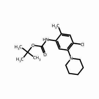 Cc1cc(Cl)c(N2CCCCC2)cc1NC(=O)OC(C)(C)C